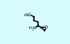 CCCCCCCC(N)C1CO1